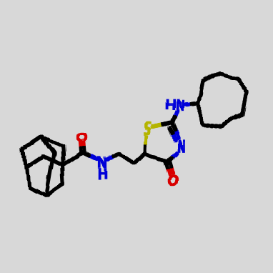 O=C1N=C(NC2CCCCCCC2)SC1CCNC(=O)C12CC3CC(CC(C3)C1)C2